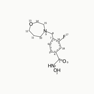 O=C(NO)c1ccc(CN2CCCOCC2)c(F)c1